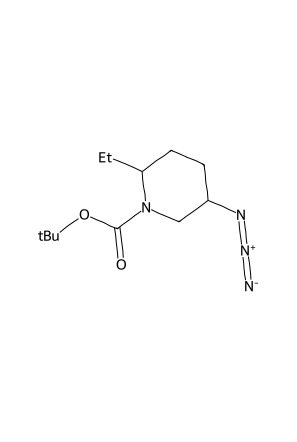 CCC1CCC(N=[N+]=[N-])CN1C(=O)OC(C)(C)C